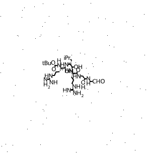 CC(C)C[C@@H](NC(O)[C@H](CCCNC(=N)N)NC(=O)OC(C)(C)C)C(O)N[C@@H](CCCNC(=N)N)C(=O)NCC(O)NCC=O